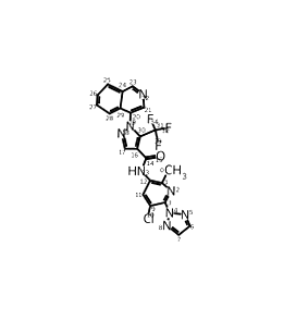 Cc1nc(-n2nccn2)c(Cl)cc1NC(=O)c1cnn(-c2cncc3ccccc23)c1C(F)(F)F